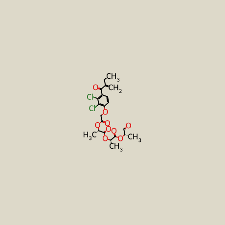 C=C(CC)C(=O)c1ccc(OCC(=O)O[C@@H](C)C(=O)O[C@@H](C)C(=O)O[C@@H](C)C=O)c(Cl)c1Cl